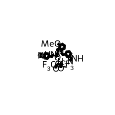 COc1cccc2c1cc(C(=O)NCc1ccc([N+](C)(C)C)cc1)n2Cc1cccc(C(=N)N)c1.O=C(OC(=O)C(F)(F)F)C(F)(F)F